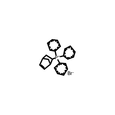 C1=CC2CC1CC2[P+](c1ccccc1)(c1ccccc1)c1ccccc1.[Br-]